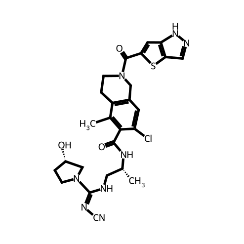 Cc1c2c(cc(Cl)c1C(=O)N[C@H](C)CN/C(=N\C#N)N1CC[C@H](O)C1)CN(C(=O)c1cc3[nH]ncc3s1)CC2